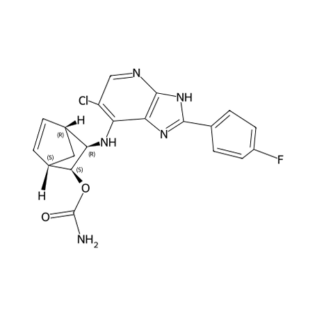 NC(=O)O[C@@H]1[C@H](Nc2c(Cl)cnc3[nH]c(-c4ccc(F)cc4)nc23)[C@H]2C=C[C@@H]1C2